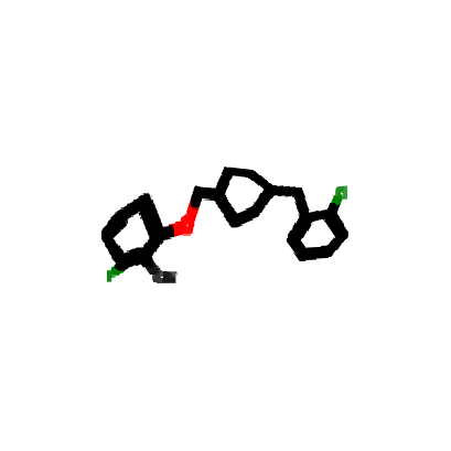 N#Cc1c(F)cccc1OCC1CCC(Cc2ccccc2Cl)CC1